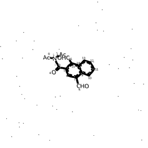 CC(=O)N(C(C)=O)C(=O)c1cc(C=O)c2ccccc2c1C=O